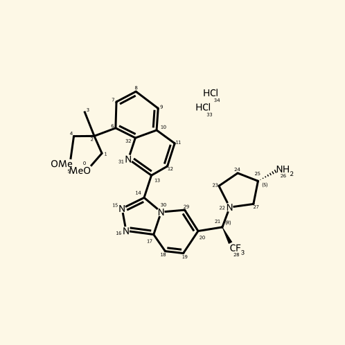 COCC(C)(COC)c1cccc2ccc(-c3nnc4ccc([C@@H](N5CC[C@H](N)C5)C(F)(F)F)cn34)nc12.Cl.Cl